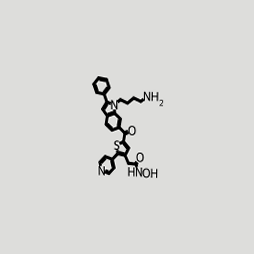 NCCCCn1c(-c2ccccc2)cc2ccc(C(=O)c3cc(CC(=O)NO)c(-c4ccncc4)s3)cc21